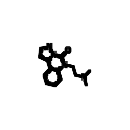 CN(C)CCn1c(=O)n2nccc2c2ccccc21